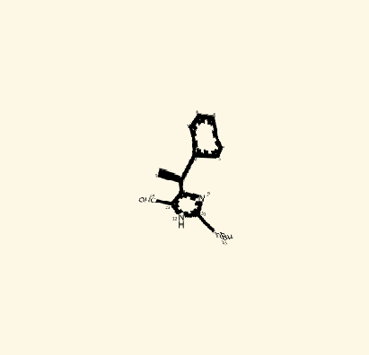 C=C(c1ccccc1)c1nc(CCCC)[nH]c1C=O